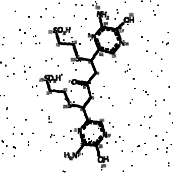 Nc1nc(C(CC(=O)CC(SCCS(=O)(=O)O)c2cnc(O)c(N)n2)SCCS(=O)(=O)O)cnc1O